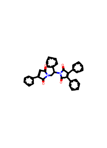 O=C1C=C(c2ccccc2)C(=O)N1CC(c1ccccc1)N1C(=O)C(c2ccccc2)=C(c2ccccc2)C1=O